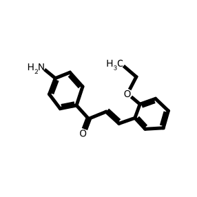 CCOc1ccccc1C=CC(=O)c1ccc(N)cc1